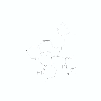 Cc1ccccc1Cn1c(C(=O)NS(C)(=O)=O)c(-c2ccc[nH]c2=O)c2c3c(ccc21)CCCO3